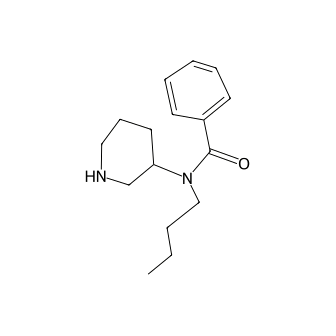 CCCCN(C(=O)c1ccccc1)C1CCCNC1